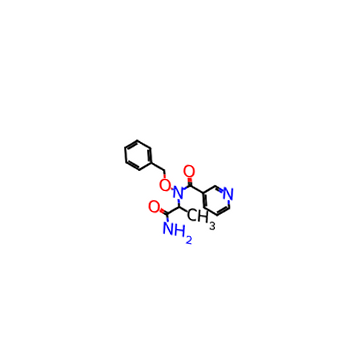 CC(C(N)=O)N(OCc1ccccc1)C(=O)c1cccnc1